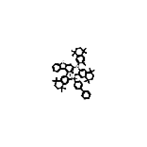 Cc1cc2c(cc1N1c3cc4c(cc3Bc3c1cc1sc5ccccc5c1c3-c1cc3c(cc1Nc1ccc(-c5ccccc5)cc1)C(C)(C)CCC3(C)C)C(C)(C)CCC4(C)C)C(C)(C)CCC2(C)C